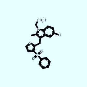 Cc1c(Cc2sccc2S(=O)(=O)c2ccccc2)c2cc(Cl)ccc2n1CC(=O)O